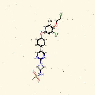 CS(=O)(=O)NC1CN(c2ncc(-c3ccc(Oc4cc(Cl)c(OCCCl)c(C#N)c4)cc3)cn2)C1